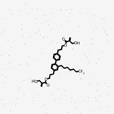 C=C(CO)C(=O)OCCCc1ccc(-c2ccc(CCCOC(=O)C(=C)CO)cc2CCCCCCC(F)(F)F)cc1